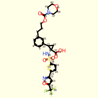 O=C(OCCCc1cccc(C2C[C@@]2(NS(=O)(=O)c2ccc(-c3cc(C(F)(F)F)on3)s2)C(=O)O)c1)N1CCOCC1